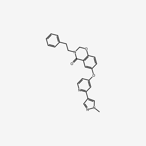 Cn1cc(-c2cc(Oc3ccc4c(c3)C(=O)N(CCc3ccccc3)CO4)ccn2)cn1